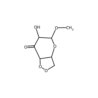 COC1OC2COOC2C(=O)C1O